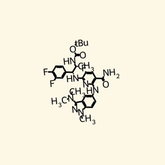 C[C@H](NC(=O)OC(C)(C)C)[C@H](Nc1nc(Nc2ccc3c(c2)c(N(C)C)nn3C)c(C(N)=O)cc1F)c1ccc(F)c(F)c1